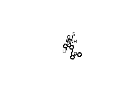 CSCC[C@H](NC(=O)c1ccc(C=Cc2ccccc2Oc2ccccc2)cc1-c1ccccc1C)C(=O)[O-].[Li+]